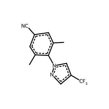 Cc1cc(C#N)cc(C)c1-n1cc(C(F)(F)F)cn1